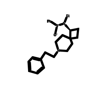 CCN([C@H]1CCC12CCN(CCc1ccccc1)CC2)[S+]([O-])C(C)C